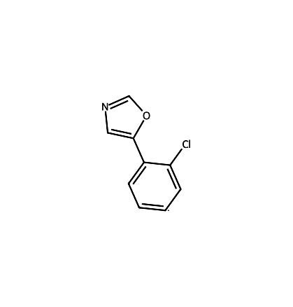 Clc1c[c]ccc1-c1cnco1